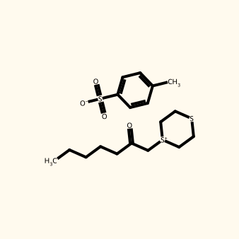 CCCCCC(=O)C[S+]1CCSCC1.Cc1ccc(S(=O)(=O)[O-])cc1